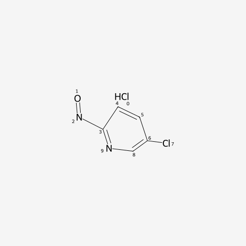 Cl.O=Nc1ccc(Cl)cn1